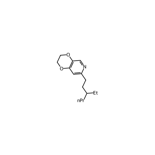 CCCC(CC)CCc1cc2c(cn1)OCCO2